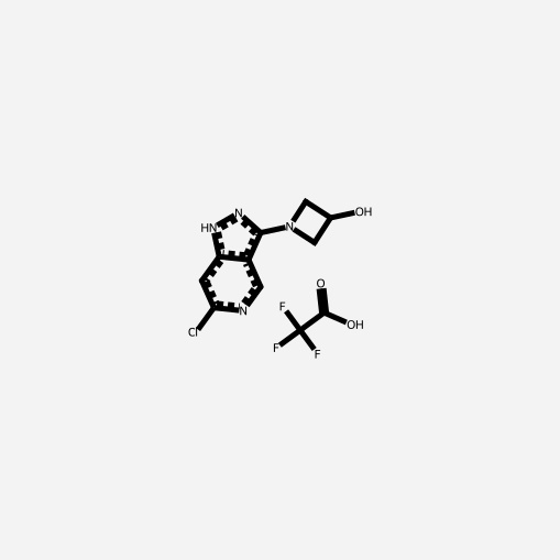 O=C(O)C(F)(F)F.OC1CN(c2n[nH]c3cc(Cl)ncc23)C1